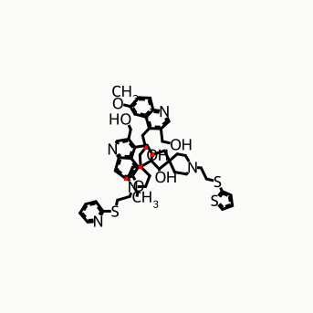 COc1ccc2ncc(CO)c(CCCC3(C(O)C(O)C4(CCCc5c(CO)cnc6ccc(OC)cc56)CCN(CCSc5cccs5)CC4)CCN(CCSc4ccccn4)CC3)c2c1